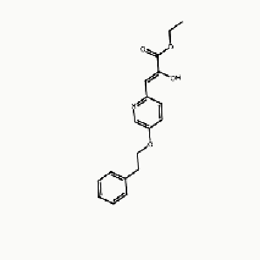 CCOC(=O)C(O)=Cc1ccc(OCCc2ccccc2)cn1